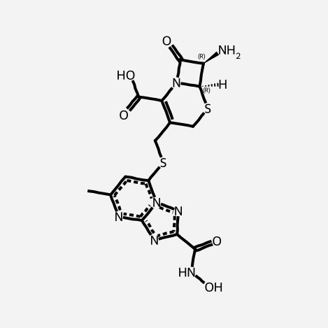 Cc1cc(SCC2=C(C(=O)O)N3C(=O)[C@@H](N)[C@H]3SC2)n2nc(C(=O)NO)nc2n1